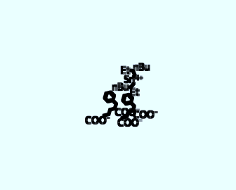 CCCCC(CC)[CH2][Sn+4][CH2]C(CC)CCCC.O=C([O-])CCCC(Cc1ccccc1)C(=O)[O-].O=C([O-])CCCC(Cc1ccccc1)C(=O)[O-]